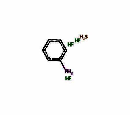 F.F.F.Pc1ccccc1.S